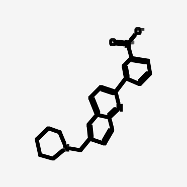 O=[N+]([O-])c1cccc(-c2ccc3cc(CN4CCCCC4)ccc3n2)c1